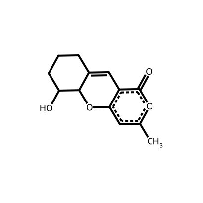 Cc1cc2c(c(=O)o1)C=C1CCCC(O)C1O2